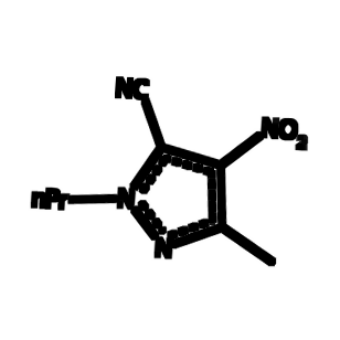 CCCn1nc(C)c([N+](=O)[O-])c1C#N